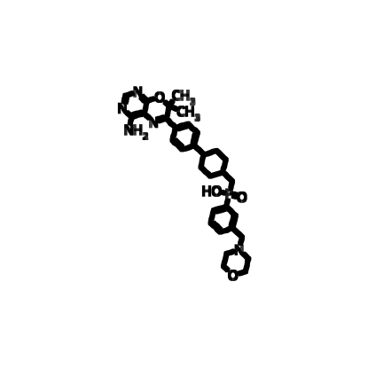 CC1(C)Oc2ncnc(N)c2N=C1c1ccc(C2CCC(CP(=O)(O)c3cccc(CN4CCOCC4)c3)CC2)cc1